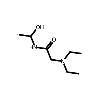 [CH2]C(O)NC(=O)CN(CC)CC